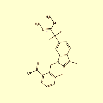 Cc1cccc(C(N)=O)c1Cn1nc(C)c2ccc(C(F)(F)/C(=N/N)NN)cc21